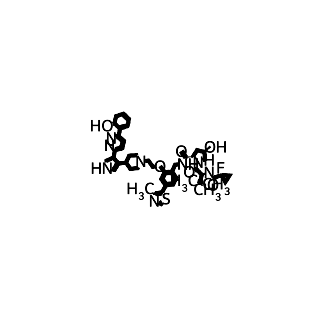 Cc1ncsc1-c1ccc(CNC(=O)[C@@H]2C[C@@H](O)CN2C(=O)[C@@H](NC(=O)C2(F)CC2)C(C)(C)C)c(OCCN2CCC(C3=CNCC3c3ccc(C4=CC=CCC4O)nn3)CC2)c1